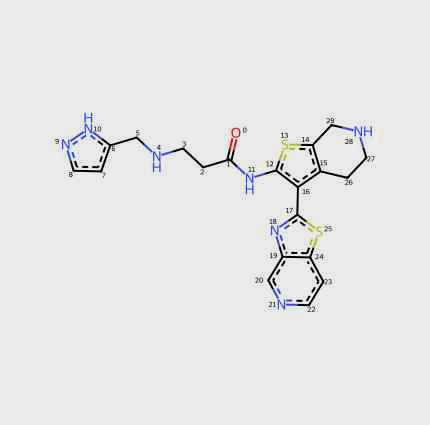 O=C(CCNCc1ccn[nH]1)Nc1sc2c(c1-c1nc3cnccc3s1)CCNC2